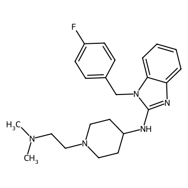 CN(C)CCN1CCC(Nc2nc3ccccc3n2Cc2ccc(F)cc2)CC1